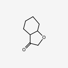 O=C1COC2CCCCC12